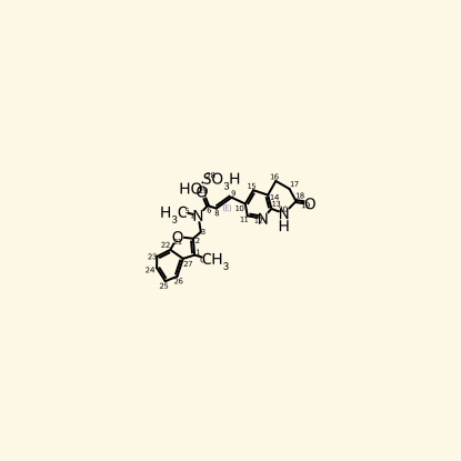 Cc1c(CN(C)C(=O)/C=C/c2cnc3c(c2)CCC(=O)N3)oc2ccccc12.O=S(=O)(O)O